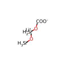 O=C([O-])O[SiH2]O[SiH3].[Li+]